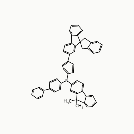 CC1(C)c2ccccc2-c2ccc(N(c3ccc(-c4ccccc4)cc3)c3ccc(-c4ccc5c(c4)C4(Cc6ccccc6C4)c4ccccc4-5)cc3)cc21